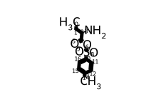 CC[C@H](N)C(=O)OS(=O)(=O)c1ccc(C)cc1